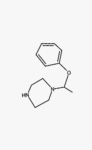 CC(Oc1ccccc1)N1CCNCC1